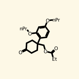 CCCOc1ccc(C2(COC(=O)CC)CCC(=O)CC2)c(OCCC)c1